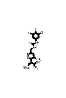 CN/C=C(\C(=N)C(F)(F)F)c1nnc(CNC(=O)Nc2cc(Cl)c(F)c(Cl)c2)cc1C